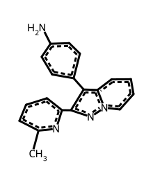 Cc1cccc(-c2nn3ccccc3c2-c2ccc(N)cc2)n1